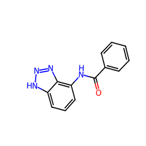 O=C(Nc1cccc2[nH]nnc12)c1ccccc1